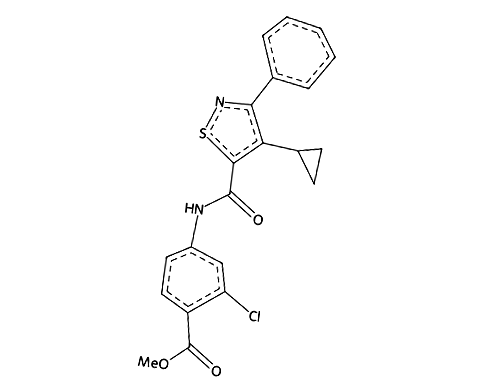 COC(=O)c1ccc(NC(=O)c2snc(-c3ccccc3)c2C2CC2)cc1Cl